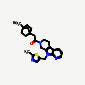 O=C(CC12CCC(C(=O)O)(CC1)C2)N1CCc2c(n(Cc3cnc(C(F)(F)F)s3)c3ncccc23)C1